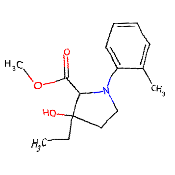 CCC1(O)CCN(c2ccccc2C)C1C(=O)OC